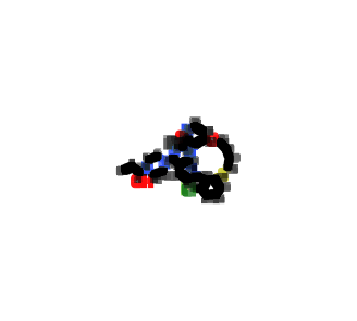 C=CC(O)N1CCN(c2nc(=O)n3c4nc(c(F)cc24)-c2c(Cl)cccc2SCCCCOc2ccnc(C(C)C)c2-3)CC1